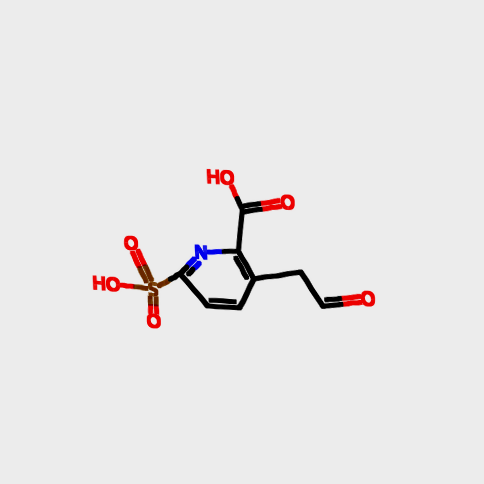 O=CCc1ccc(S(=O)(=O)O)nc1C(=O)O